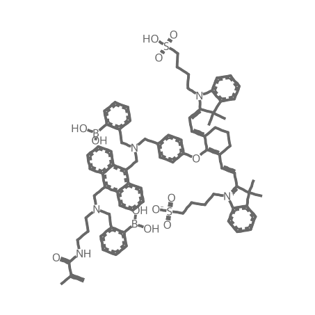 C=C(C)C(=O)NCCCN(Cc1ccccc1B(O)O)Cc1c2ccccc2c(CN(Cc2ccc(OC3=C(/C=C/C4=[N+](CCCCS(=O)(=O)[O-])c5ccccc5C4(C)C)CCC/C3=C\C=C3\N(CCCCS(=O)(=O)O)c4ccccc4C3(C)C)cc2)Cc2ccccc2B(O)O)c2ccccc12